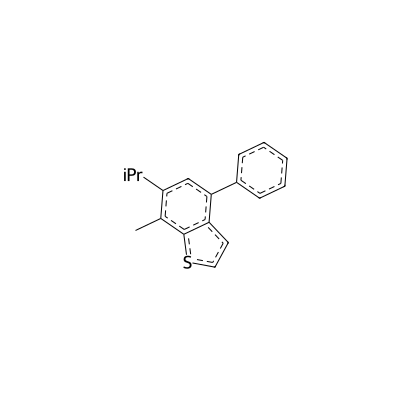 Cc1c(C(C)C)cc(-c2ccccc2)c2ccsc12